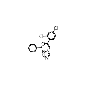 Clc1ccc(/C(=C/n2cnnn2)OCc2ccccc2)c(Cl)c1